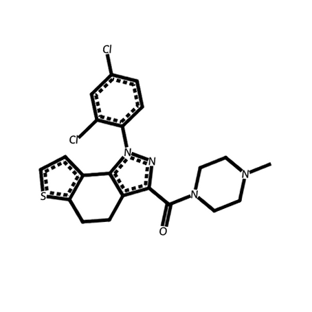 CN1CCN(C(=O)c2nn(-c3ccc(Cl)cc3Cl)c3c2CCc2sccc2-3)CC1